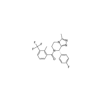 Cc1c(C(=O)N2CCn3c(C)nnc3[C@@H]2c2ccc(F)cc2)cccc1C(F)(F)F